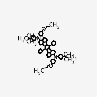 CCCCOc1ccc(N(c2ccc(C(C)(C)C)cc2)c2ccc3c4c(-c5ccccc5)c5c6cccc7c(N(c8ccc(OCCCC)cc8)c8ccc(C(C)(C)C)cc8)ccc(c5c(-c5ccccc5)c4c4cccc2c43)c76)cc1